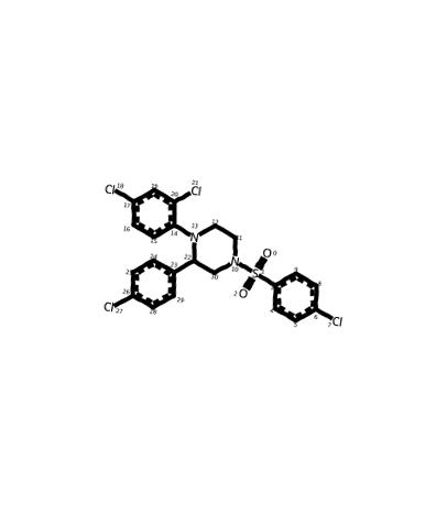 O=S(=O)(c1ccc(Cl)cc1)N1CCN(c2ccc(Cl)cc2Cl)C(c2ccc(Cl)cc2)C1